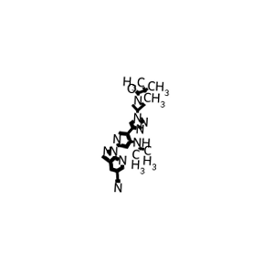 CC(C)Nc1cc(-n2ncc3cc(C#N)cnc32)ncc1-c1cn(C2CN(C(=O)C(C)(C)C)C2)nn1